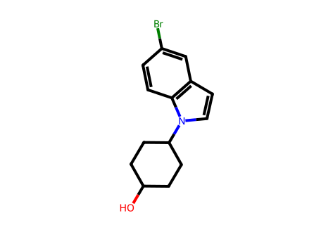 OC1CCC(n2ccc3cc(Br)ccc32)CC1